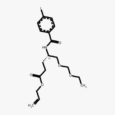 C=CCOC(=O)CC[C@@H](COCOCC)NC(=O)c1ccc(I)cc1